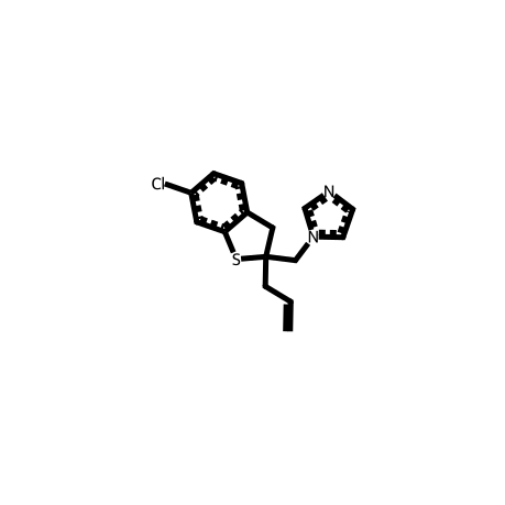 C=CCC1(Cn2ccnc2)Cc2ccc(Cl)cc2S1